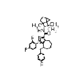 CC1(C)[C@@H](NC(=O)c2nn(-c3ccc(F)cc3F)c3c2CCCCC3Cc2ccc(F)cc2)C2(C)CCC3CC312